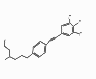 CCCC(C)CCCc1ccc(C#Cc2cc(F)c(F)c(F)c2)cc1